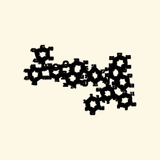 c1ccc(-c2cc(-c3ccccc3)cc(N(c3ccc4c(c3)Oc3ccc5c6c(ccc-4c36)Oc3cc(N(c4ccccc4)c4ccccc4)ccc3-5)c3cc4ccccc4c4ccccc34)c2)cc1